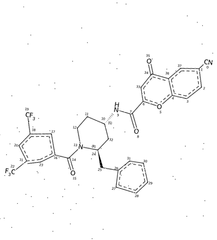 N#Cc1ccc2oc(C(=O)N[C@H]3CCN(C(=O)c4cc(C(F)(F)F)cc(C(F)(F)F)c4)[C@H](Cc4ccccc4)C3)cc(=O)c2c1